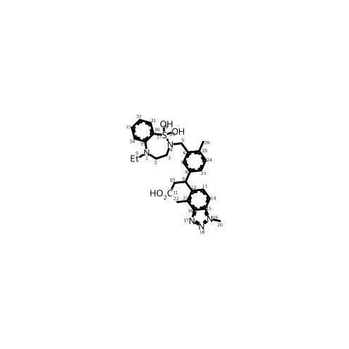 CCN1CCN(Cc2cc(C(CC(=O)O)c3ccc4c(nnn4C)c3C)ccc2C)S(O)(O)c2ccccc21